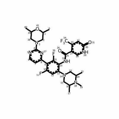 CC1CN(c2nccc(-c3c(F)cc(N4CC(C)N(C)C(C)C4)c(NC(=O)c4c[nH]c(=O)cc4C(F)(F)F)c3F)n2)CC(C)O1